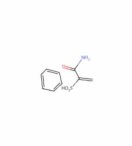 C=C(C(N)=O)S(=O)(=O)O.c1ccccc1